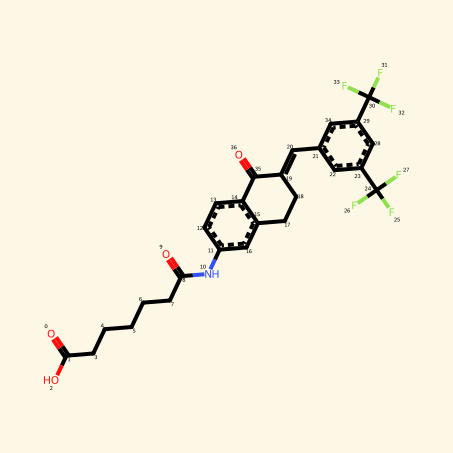 O=C(O)CCCCCC(=O)Nc1ccc2c(c1)CC/C(=C\c1cc(C(F)(F)F)cc(C(F)(F)F)c1)C2=O